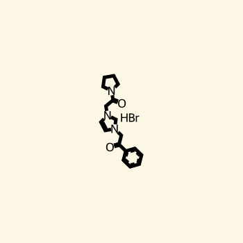 Br.O=C(CN1C=CN(CC(=O)N2CCCC2)C1)c1ccccc1